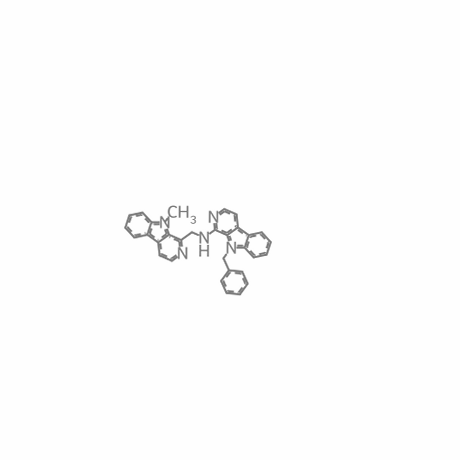 Cn1c2ccccc2c2ccnc(CNc3nccc4c5ccccc5n(Cc5ccccc5)c34)c21